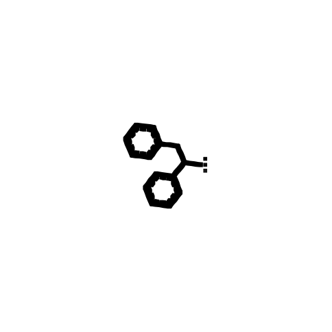 [C]C(Cc1ccccc1)c1ccccc1